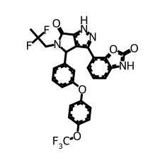 CC(F)(F)CN1C(=O)c2[nH]nc(-c3cccc4[nH]c(=O)oc34)c2C1c1cccc(Oc2ccc(OC(F)(F)F)cc2)c1